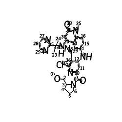 COCC1CCCN1C(=O)c1cc(Nc2ccc3c(c2)c(NC(C)(C)c2ncccn2)cc(=O)n3C)c(C#N)c(Cl)n1